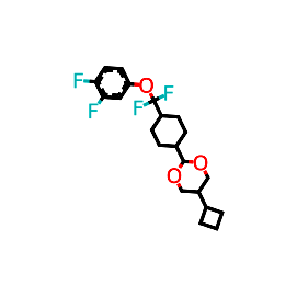 Fc1ccc(OC(F)(F)C2CCC(C3OCC(C4CCC4)CO3)CC2)cc1F